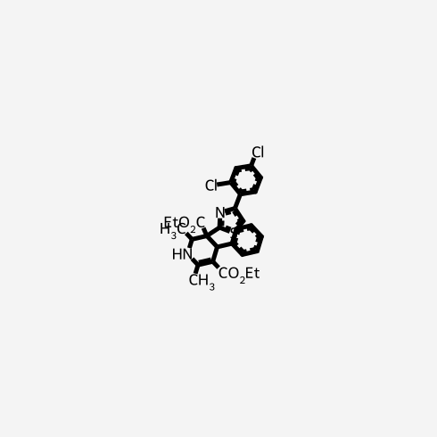 CCOC(=O)C1=C(C)NC(C)C(C(=O)OCC)(c2nc(-c3ccc(Cl)cc3Cl)cs2)C1c1ccccc1